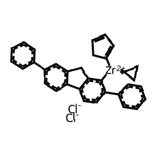 C1=CC[C]([Zr+2](=[C]2CC2)[c]2c(-c3ccccc3)ccc3c2Cc2cc(-c4ccccc4)ccc2-3)=C1.[Cl-].[Cl-]